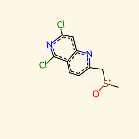 C[S+]([O-])Cc1ccc2c(Cl)nc(Cl)cc2n1